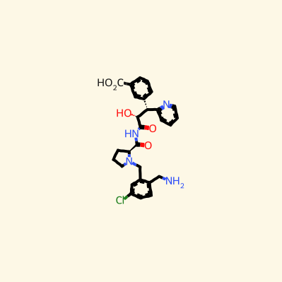 NCc1ccc(Cl)cc1CN1CCC[C@H]1C(=O)NC(=O)[C@H](O)[C@H](c1cccc(C(=O)O)c1)c1ccccn1